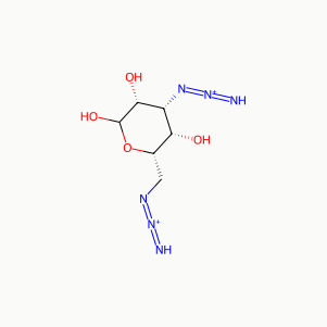 N=[N+]=NC[C@@H]1OC(O)[C@H](O)[C@H](N=[N+]=N)[C@@H]1O